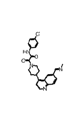 C/N=C/c1ccc2nccc(C3CCN(C(=O)C(=O)Nc4ccc(Cl)cc4)CC3)c2c1